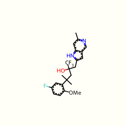 COc1ccc(F)cc1C(C)(C)CC(O)(Cc1cc2cnc(C)cc2[nH]1)C(F)(F)F